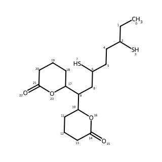 CCC(S)CCC(S)CC(C1CCCC(=O)O1)C1CCCC(=O)O1